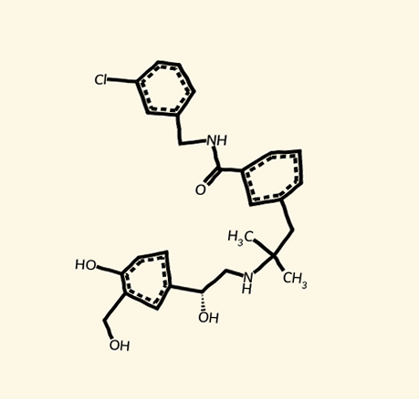 CC(C)(Cc1cccc(C(=O)NCc2cccc(Cl)c2)c1)NC[C@H](O)c1ccc(O)c(CO)c1